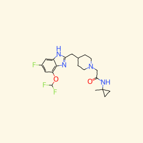 CC1(NC(=O)CN2CCC(Cc3nc4c(OC(F)F)cc(F)cc4[nH]3)CC2)CC1